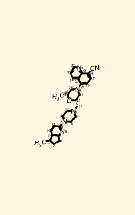 CC1CCc2nc(N3CCN(C[C@H]4CN(c5ccc(C#N)c6ncccc56)C[C@@H](C)O4)CC3)ccc21